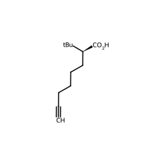 C#CCCCC[C@H](C(=O)O)C(C)(C)C